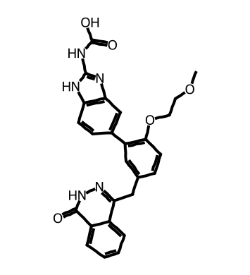 COCCOc1ccc(Cc2n[nH]c(=O)c3ccccc23)cc1-c1ccc2[nH]c(NC(=O)O)nc2c1